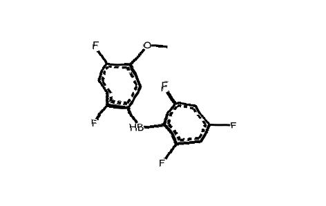 COc1cc(Bc2c(F)cc(F)cc2F)c(F)cc1F